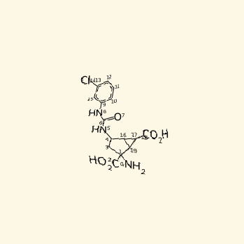 NC1(C(=O)O)CC(NC(=O)Nc2cccc(Cl)c2)C2C(C(=O)O)C21